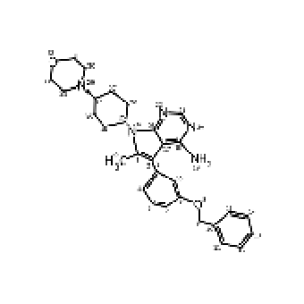 Cc1c(-c2cccc(OCc3ccccc3)c2)c2c(N)ncnc2n1[C@H]1CC[C@H](N2CCOCC2)CC1